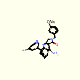 COc1ccc(CN2Cc3nc4c(-c5cncc(OC)c5)cccc4c(N)c3C2=O)cc1